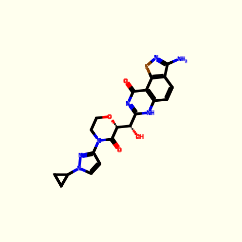 Nc1nsc2c1ccc1[nH]c([C@H](O)[C@H]3OCCN(c4ccn(C5CC5)n4)C3=O)nc(=O)c12